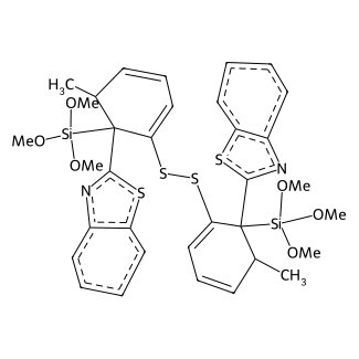 CO[Si](OC)(OC)C1(c2nc3ccccc3s2)C(SSC2=CC=CC(C)C2(c2nc3ccccc3s2)[Si](OC)(OC)OC)=CC=CC1C